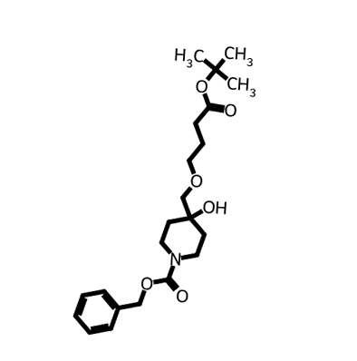 CC(C)(C)OC(=O)CCCOCC1(O)CCN(C(=O)OCc2ccccc2)CC1